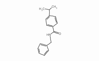 CC(C)c1ccc(C(=O)NCc2ccccc2)cc1